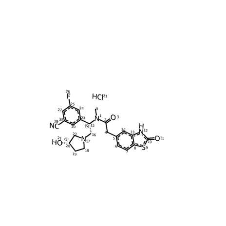 CN(C(=O)Cc1ccc2sc(=O)[nH]c2c1)[C@H](CN1CC[C@H](O)C1)c1cc(F)cc(C#N)c1.Cl